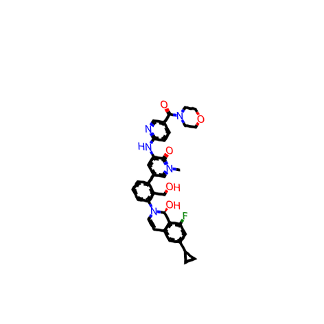 Cn1cc(-c2cccc(N3C=Cc4cc(C5CC5)cc(F)c4[C@@H]3O)c2CO)cc(Nc2ccc(C(=O)N3CCOCC3)cn2)c1=O